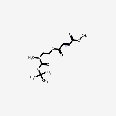 COC(=O)/C=C/C(=O)OCCN(C)C(=O)OC(C)(C)C